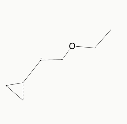 CCOC[CH]C1CC1